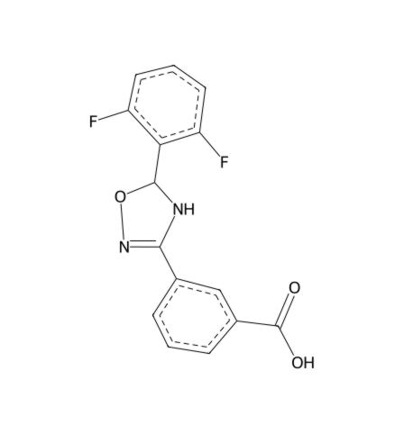 O=C(O)c1cccc(C2=NOC(c3c(F)cccc3F)N2)c1